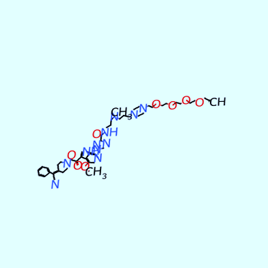 C#CCOCCOCCOCCOCCN1CCN(CCCN(C)CCCNC(=O)c2ncn(-c3ncc(OC)c4c(C(=O)C(=O)N5CCC(=C(C#N)c6ccccc6)CC5)c[nH]c34)n2)CC1